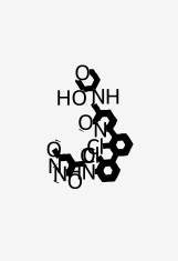 COc1cc(C(=O)Nc2cccc(-c3cccc(-c4ccc(CNC5CCOCC5O)c(OC)n4)c3Cl)c2Cl)c(=O)n(C)n1